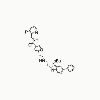 CCCCn1c(CCNCCc2nc(C(=O)NCc3ncccc3F)co2)nc2ccc(-c3ccccc3)cc21